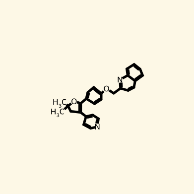 CC1(C)CC(c2ccncc2)=C(c2ccc(OCc3ccc4ccccc4n3)cc2)O1